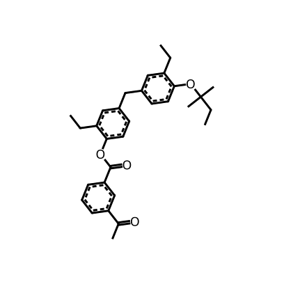 CCc1cc(Cc2ccc(OC(C)(C)CC)c(CC)c2)ccc1OC(=O)c1cccc(C(C)=O)c1